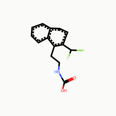 O=C(O)NCCc1c(C(F)F)ccc2ccccc12